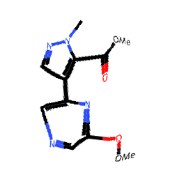 COOc1cncc(-c2cnn(C)c2C(=O)OC)n1